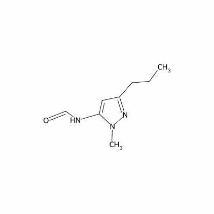 CCCc1cc(NC=O)n(C)n1